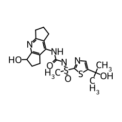 CC(C)(O)c1cnc(S(C)(=O)=NC(=O)Nc2c3c(nc4c2CCC4O)CCC3)s1